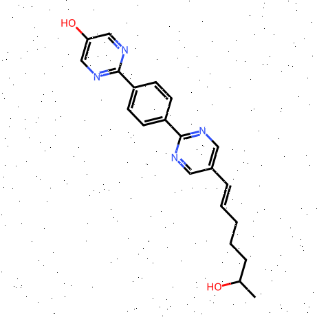 CC(O)CCCC=Cc1cnc(-c2ccc(-c3ncc(O)cn3)cc2)nc1